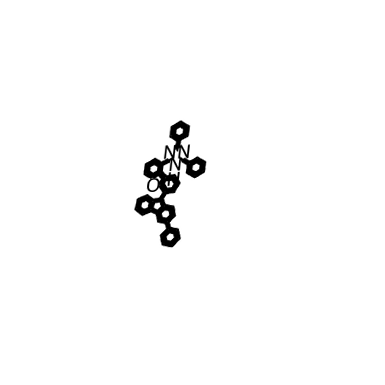 c1ccc(C2=NC(c3cccc4oc5c(C6c7ccccc7-c7cc(-c8ccccc8)ccc76)cccc5c34)NC(c3ccccc3)=N2)cc1